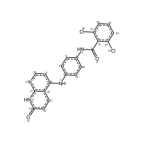 O=C(Nc1ccc(Nc2ccnc3[nH]c(=O)ccc23)cc1)c1c(Cl)cccc1Cl